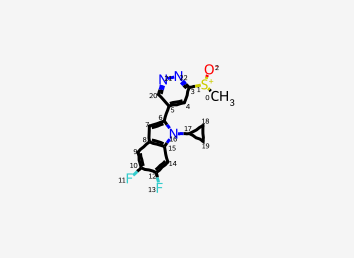 C[S+]([O-])c1cc(-c2cc3cc(F)c(F)cc3n2C2CC2)cnn1